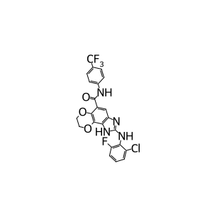 O=C(Nc1ccc(C(F)(F)F)cc1)c1cc2nc(Nc3c(F)cccc3Cl)[nH]c2c2c1OCCO2